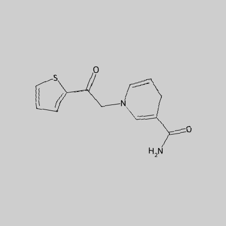 NC(=O)C1=CN(CC(=O)c2cccs2)C=CC1